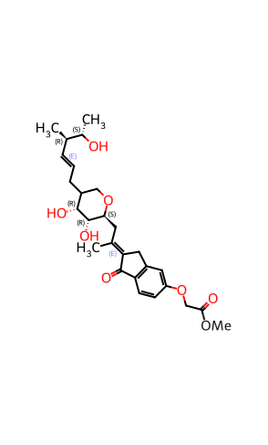 COC(=O)COc1ccc2c(c1)C/C(=C(/C)C[C@@H]1OCC(C/C=C/[C@@H](C)[C@H](C)O)[C@@H](O)[C@H]1O)C2=O